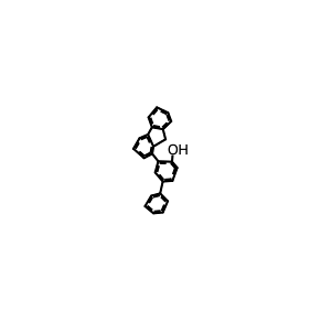 Oc1ccc(-c2ccccc2)cc1-c1cccc2c1Cc1ccccc1-2